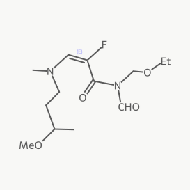 CCOCN(C=O)C(=O)/C(F)=C\N(C)CCC(C)OC